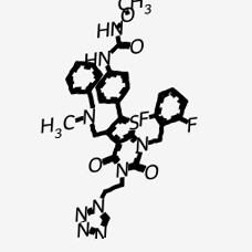 CONC(=O)Nc1ccc(-c2sc3c(c2CN(C)Cc2ccccc2)c(=O)n(CCn2cnnn2)c(=O)n3Cc2c(F)cccc2F)cc1